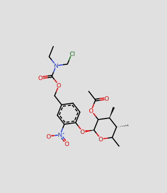 CCN(CCl)C(=O)OCc1ccc(O[C@@H]2OC(C)[C@@H](C)[C@H](C)C2OC(C)=O)c([N+](=O)[O-])c1